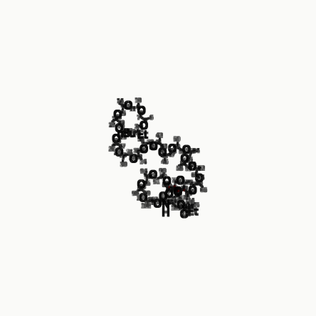 CCCCC(CC)COC(C)COC(C)COC(C)COC(C)COC(C)COC(C)COC(C)COC(C)COC(C)COC(C)COC(C)COC(C)COC(C)COC(C)COC(C)COC(C)COC(C)COC(C)COC(C)COC(C)COC(C)COC(C)COC(C)COC(C)COC(C)COC(=O)NCCOC(=O)C(C)(C)CC